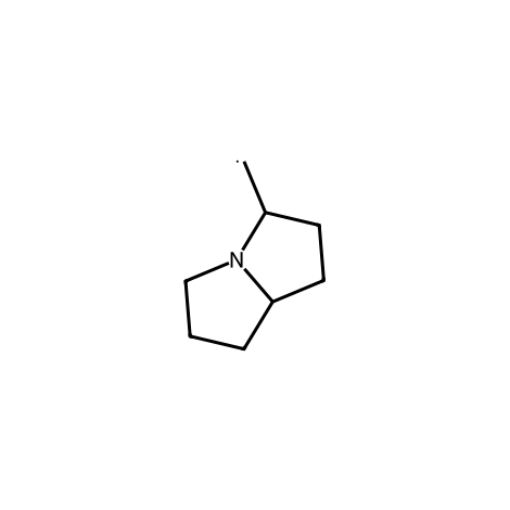 [CH2]C1CCC2CCCN12